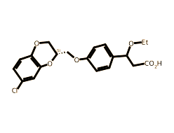 CCOC(CC(=O)O)c1ccc(OC[C@H]2COc3ccc(Cl)cc3O2)cc1